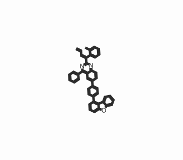 C=C/C=C(/c1nc(-c2ccccc2)c2cc(-c3ccc(-c4cccc5oc6ccccc6c45)cc3)ccc2n1)c1ccccc1C